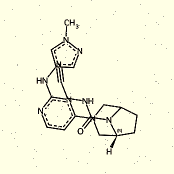 Cn1cc(Nc2nccc(N3CC4CC[C@H](C3)N4C(=O)NCC#N)n2)cn1